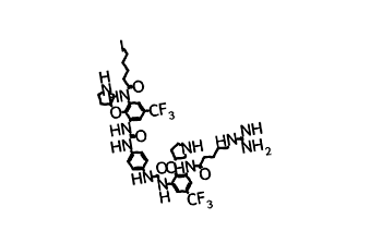 N=C(N)NCCCCC(=O)Nc1cc(C(F)(F)F)cc(NC(=O)Nc2ccc(NC(=O)Nc3cc(C(F)(F)F)cc(NC(=O)CCCCI)c3OC3CCNC3)cc2)c1OC1CCNC1